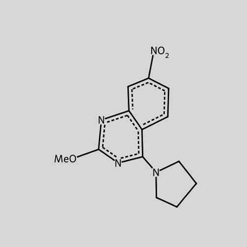 COc1nc(N2CCCC2)c2ccc([N+](=O)[O-])cc2n1